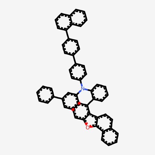 c1ccc(-c2cccc(N(c3ccc(-c4ccc(-c5cccc6ccccc56)cc4)cc3)c3ccccc3-c3cccc4oc5c6ccccc6ccc5c34)c2)cc1